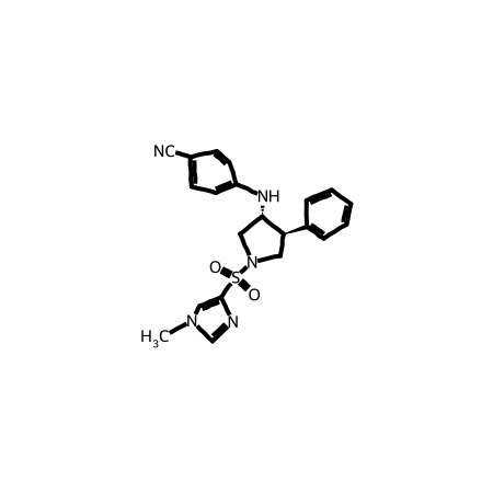 Cn1cnc(S(=O)(=O)N2C[C@H](Nc3ccc(C#N)cc3)[C@@H](c3ccccc3)C2)c1